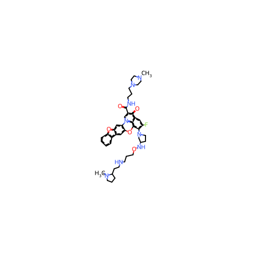 CN1CCN(CCCNC(=O)c2cn3c4c(c(N5CC[C@@H](NOCCCNCCC6CCCN6C)C5)c(F)cc4c2=O)Oc2cc4c(cc2-3)oc2ccccc24)CC1